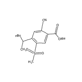 CCCCC(C)c1cc(C#N)c(C(=O)OC)cc1S(C)(=O)=O